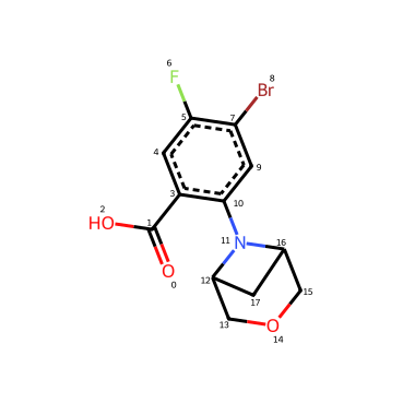 O=C(O)c1cc(F)c(Br)cc1N1C2COCC1C2